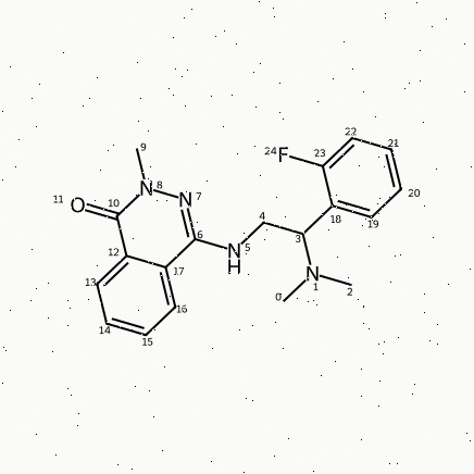 CN(C)C(CNc1nn(C)c(=O)c2ccccc12)c1ccccc1F